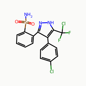 NS(=O)(=O)c1ccccc1-c1n[nH]c(C(F)(F)Cl)c1-c1ccc(Cl)cc1